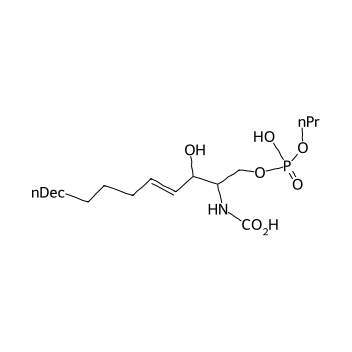 CCCCCCCCCCCCC/C=C/C(O)C(COP(=O)(O)OCCC)NC(=O)O